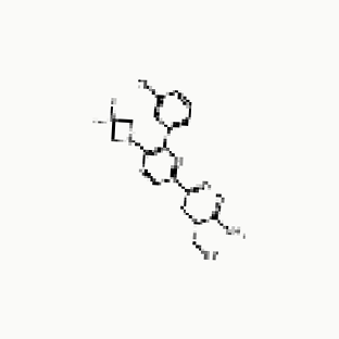 CC(C)C[C@H](NC(=O)c1ccc(N2CC(F)(F)C2)c(-c2cccc(Cl)c2)n1)C(N)=O